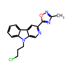 Cc1noc(-c2cc3c4ccccc4n(CCCCl)c3cn2)n1